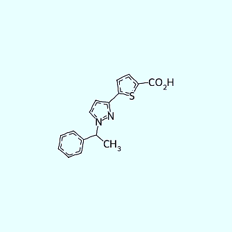 CC(c1ccccc1)n1ccc(-c2ccc(C(=O)O)s2)n1